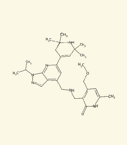 COCc1cc(C)[nH]c(=O)c1CNCc1cc(C2=CC(C)(C)NC(C)(C)C2)nc2c1cnn2C(C)C